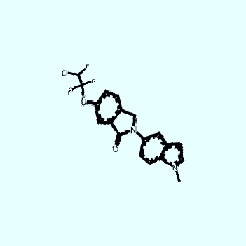 Cn1ccc2cc(N3Cc4ccc(OC(F)(F)C(F)Cl)cc4C3=O)ccc21